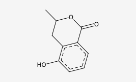 CC1Cc2c(O)cccc2C(=O)O1